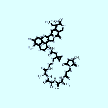 CC[C@@]1(O)C(=O)OCc2c1cc1n(c2=O)Cc2c-1nc1cc(F)c(C)c3c1c2[C@@H](NC(=O)CC1(COCNC(=O)[C@H](C)NC(=O)[C@H](C)NC(=O)[C@H](C)NC(=O)CCN2C(=O)CC(C)C2=O)CC1)CC3